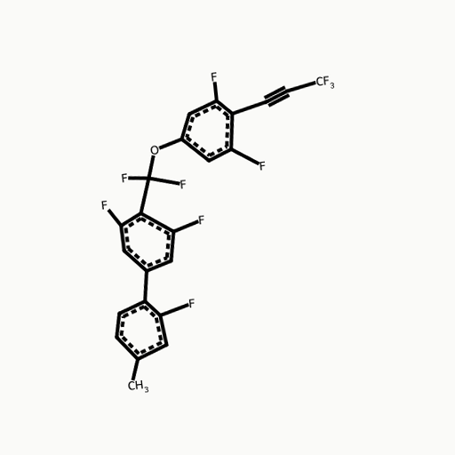 Cc1ccc(-c2cc(F)c(C(F)(F)Oc3cc(F)c(C#CC(F)(F)F)c(F)c3)c(F)c2)c(F)c1